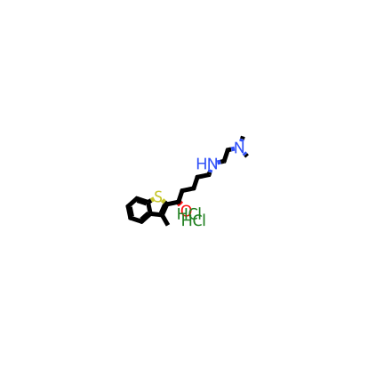 Cc1c(C(=O)CCCCNCCN(C)C)sc2ccccc12.Cl.Cl